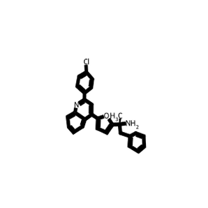 C[C@@](N)(Cc1ccccc1)c1ccc(-c2cc(-c3ccc(Cl)cc3)nc3ccccc23)o1